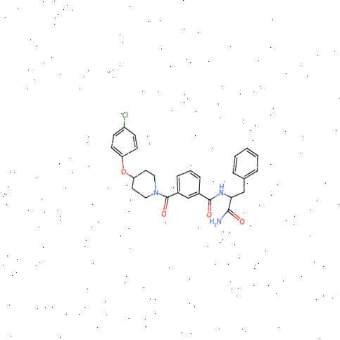 NC(=O)C(Cc1ccccc1)NC(=O)c1cccc(C(=O)N2CCC(Oc3ccc(Cl)cc3)CC2)c1